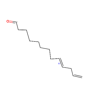 C=CC/C=C/CCCCCCC[C]=O